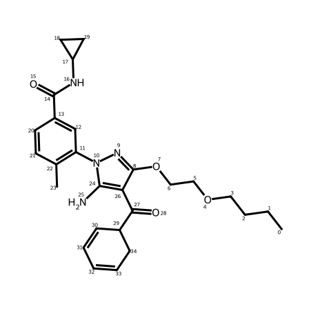 CCCCOCCOc1nn(-c2cc(C(=O)NC3CC3)ccc2C)c(N)c1C(=O)C1C=CC=CC1